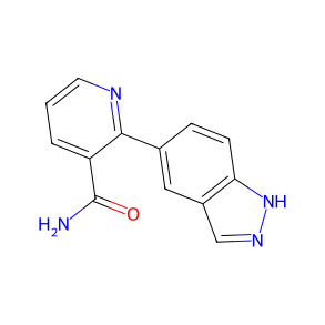 NC(=O)c1cccnc1-c1ccc2[nH]ncc2c1